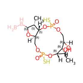 BB[C@@H]1O[C@@H]2COP(=O)(S)O[C@@H]3[C@H](O)[C@@H](COP(=O)(S)O[C@H]2[C@H]1C)O[C@H]3C